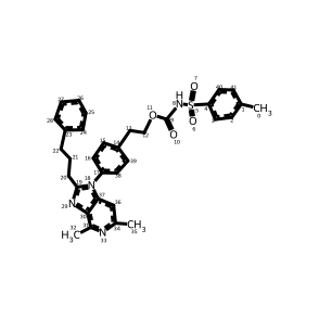 Cc1ccc(S(=O)(=O)NC(=O)OCCc2ccc(-n3c(CCCc4ccccc4)nc4c(C)nc(C)cc43)cc2)cc1